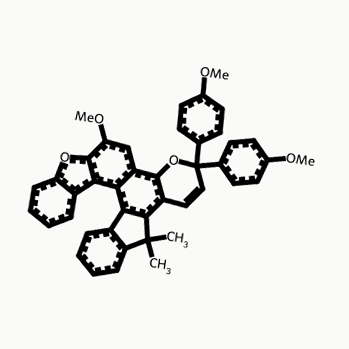 COc1ccc(C2(c3ccc(OC)cc3)C=Cc3c4c(c5c(cc(OC)c6oc7ccccc7c65)c3O2)-c2ccccc2C4(C)C)cc1